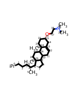 CC(C)CCC[C@@H](C)[C@H]1CCC2C3CC=C4C[C@@H](OCCN(C)C)CC[C@]4(C)C3CC[C@@]21C